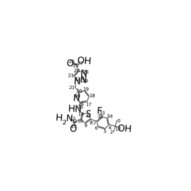 CC(C)(O)c1ccc(-c2cc(C(N)=O)c(Nc3cccc(Cn4cc(C(=O)O)nn4)n3)s2)c(F)c1